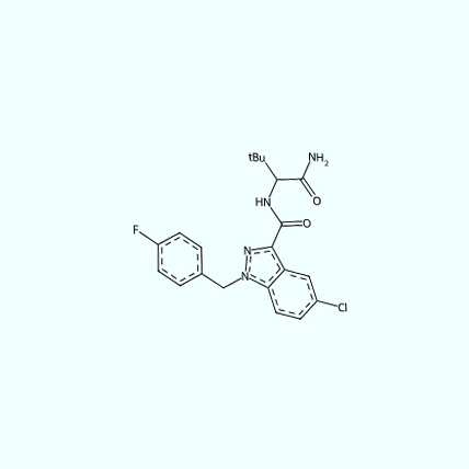 CC(C)(C)C(NC(=O)c1nn(Cc2ccc(F)cc2)c2ccc(Cl)cc12)C(N)=O